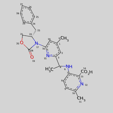 Cc1cc(C(C)Nc2ccc(C)nc2C(=O)O)nc(N2C(=O)OC[C@@H]2Cc2ccccc2)c1